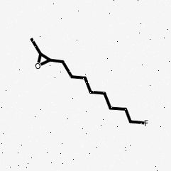 CC1OC1CCCCCCCCF